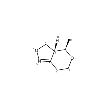 C[C@H]1OCCC2=NOC[C@@H]21